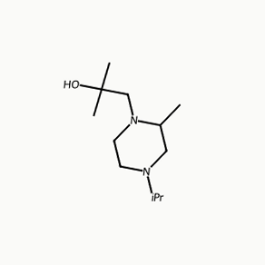 CC(C)N1CCN(CC(C)(C)O)C(C)C1